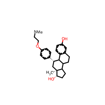 CNCCOc1ccc([C@H]2C[C@@]3(C)C(CC[C@@H]3O)C3CCc4cc(O)ccc4C32)cc1